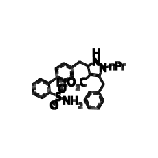 CCCN1NC(Cc2ccc(-c3ccccc3S(N)(=O)=O)cc2)C(C(=O)OCC)=C1Cc1ccccc1